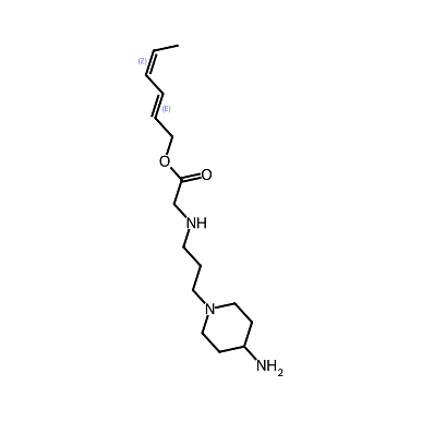 C/C=C\C=C\COC(=O)CNCCCN1CCC(N)CC1